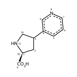 O=C(O)[C@@H]1CC(c2cccnc2)CN1